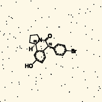 O=C1[C@@H](c2ccc(Br)cc2)c2ccc(O)cc2[C@H]2CCCN12